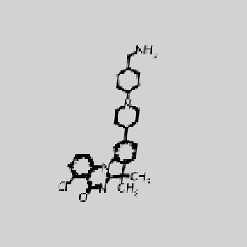 CC1(C)c2ccc(C3CCN(C4CCC(CN)CC4)CC3)cc2-n2c1nc(=O)c1c(Cl)cccc12